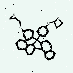 c1ccc2c3c(ccc2c1)C(c1ccc(OCC2CS2)cc1)(c1ccc(OC2CCS2)cc1)c1c-3ccc2ccccc12